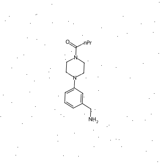 CCCC(=O)N1CCN(c2cccc(CN)c2)CC1